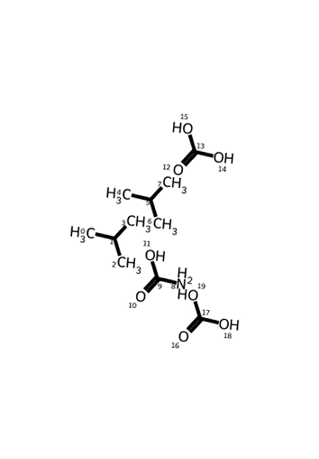 CC(C)C.CC(C)C.NC(=O)O.O=C(O)O.O=C(O)O